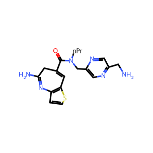 CCCN(Cc1cnc(CN)cn1)C(=O)C1=Cc2sccc2N=C(N)C1